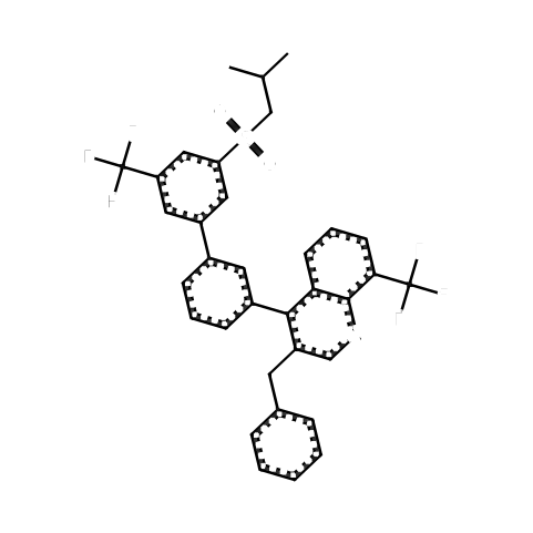 CC(C)CS(=O)(=O)c1cc(-c2cccc(-c3c(Cc4ccccc4)cnc4c(C(F)(F)F)cccc34)c2)cc(C(F)(F)F)c1